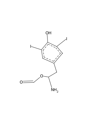 NC(Cc1cc(I)c(O)c(I)c1)OC=O